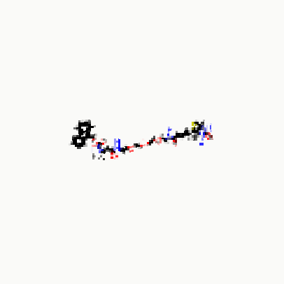 C[C@@H](CC(=O)NCCOCCOCCOCCNC(=O)CCCC[C@@H]1SC[C@H]2NC(=O)N[C@@H]12)NC(=O)OCC1C2=C(CCC=C2)c2ccccc21